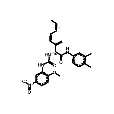 C=C(/C=C\C=C/C)[C@@H](NC(=O)Nc1cc([N+](=O)[O-])ccc1OC)C(=O)Nc1ccc(C)c(C)c1